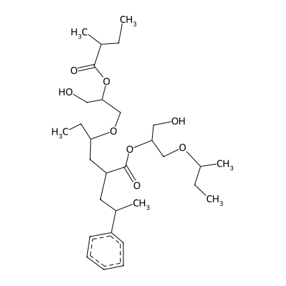 CCC(C)OCC(CO)OC(=O)C(CC(CC)OCC(CO)OC(=O)C(C)CC)CC(C)c1ccccc1